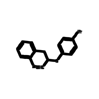 CC(C)c1ccc(SC(C=O)Cc2ccccc2Br)cc1